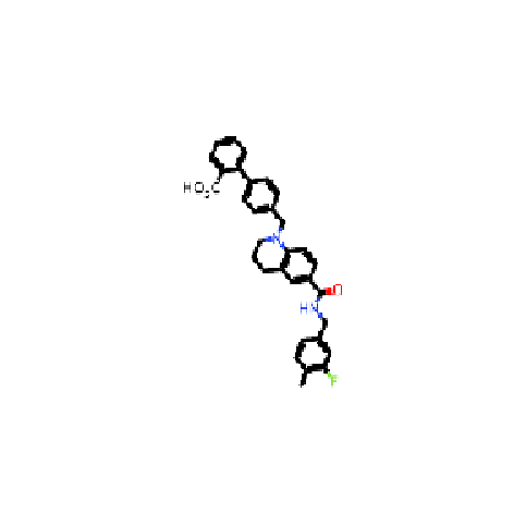 Cc1ccc(CNC(=O)c2ccc3c(c2)CCCN3Cc2ccc(-c3ccccc3C(=O)O)cc2)cc1F